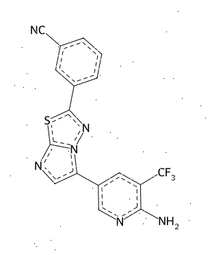 N#Cc1cccc(-c2nn3c(-c4cnc(N)c(C(F)(F)F)c4)cnc3s2)c1